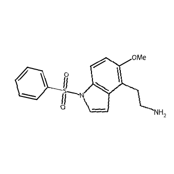 COc1ccc2c(ccn2S(=O)(=O)c2ccccc2)c1CCN